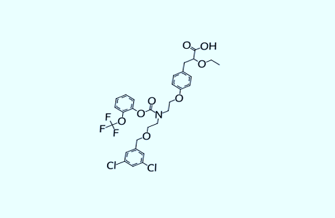 CCOC(Cc1ccc(OCCN(CCOCc2cc(Cl)cc(Cl)c2)C(=O)Oc2ccccc2OC(F)(F)F)cc1)C(=O)O